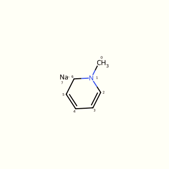 CN1C=CC=CC1.[Na]